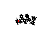 Cc1cc(C)c2c(c1)c1cc(C)cc(C)c1n2-c1cc2c3c(c1)-c1ccccc1B3c1cc3c(c(C(C)(C)C)c1O2)Oc1cc2c(cc1N3c1ccccc1)C1(C)CCC2(C)CC1